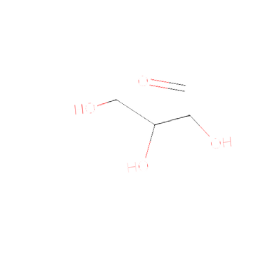 C=O.OCC(O)CO